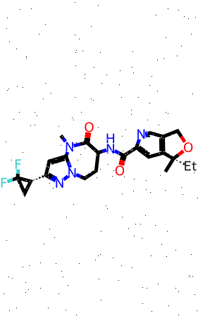 CC[C@@]1(C)OCc2cnc(C(=O)NC3CCn4nc([C@@H]5CC5(F)F)cc4N(C)C3=O)cc21